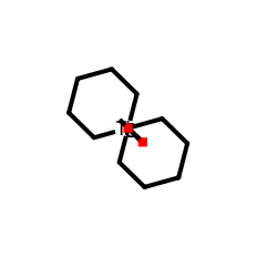 C1C[CH2][Ti]23([CH2]C1)([CH2]CCC[CH2]2)[CH2]CCC[CH2]3